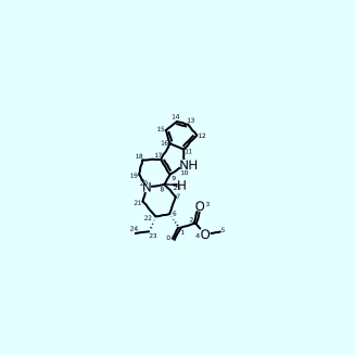 C=C(C(=O)OC)[C@H]1C[C@H]2c3[nH]c4ccccc4c3CCN2C[C@H]1CC